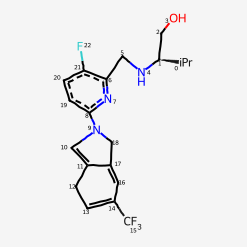 CC(C)[C@H](CO)NCc1nc(N2C=C3CC=C(C(F)(F)F)C=C3C2)ccc1F